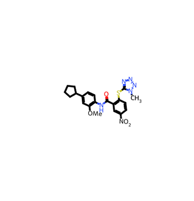 COc1cc(C2CCCC2)ccc1NC(=O)c1cc([N+](=O)[O-])ccc1Sc1nnnn1C